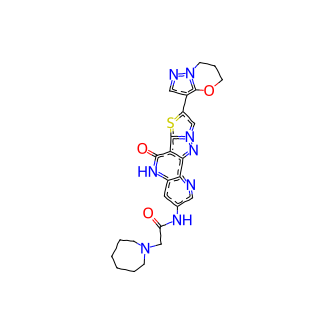 O=C(CN1CCCCCC1)Nc1cnc2c(c1)[nH]c(=O)c1c2nn2cc(-c3cnn4c3OCCC4)sc12